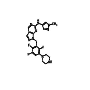 Cn1cc(Nc2ncc3cnn(Cc4c(F)c(F)cc(N5CCNCC5)c4F)c3n2)cn1